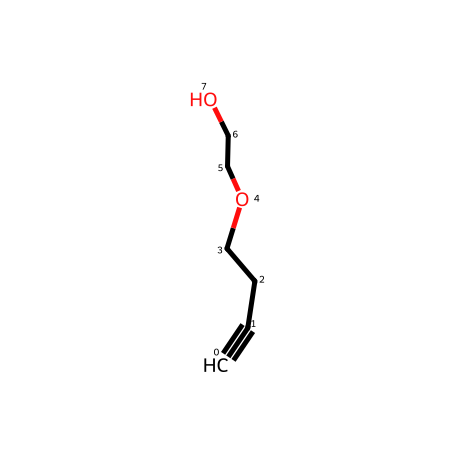 C#CCCOCCO